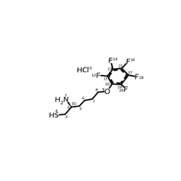 Cl.N[C@H](CS)CCCCOc1c(F)c(F)c(F)c(F)c1F